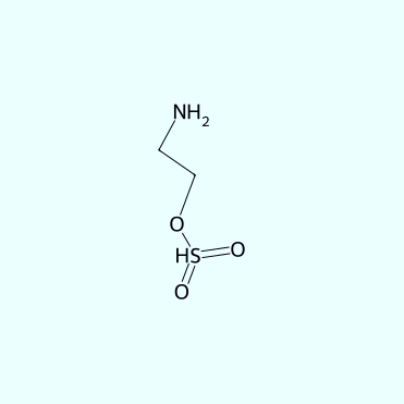 NCCO[SH](=O)=O